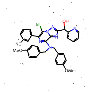 COc1ccc(CN(Cc2ccc(OC)cc2)c2nc(-c3cccc(C#N)c3)c(Br)n3nc(C(O)c4ccccn4)nc23)cc1